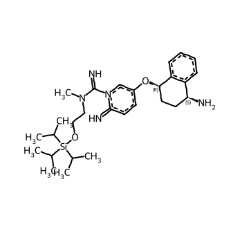 CC(C)[Si](OCCN(C)C(=N)n1cc(O[C@@H]2CC[C@H](N)c3ccccc32)ccc1=N)(C(C)C)C(C)C